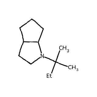 CCC(C)(C)N1CCC2CCCC21